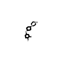 Fc1ccc(Oc2ccc(N3CCNCC3)cc2)cc1F